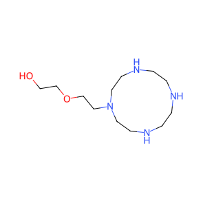 OCCOCCN1CCNCCNCCNCC1